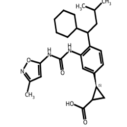 Cc1cc(NC(=O)Nc2cc([C@H]3CC3C(=O)O)ccc2C(CC(C)C)C2CCCCC2)on1